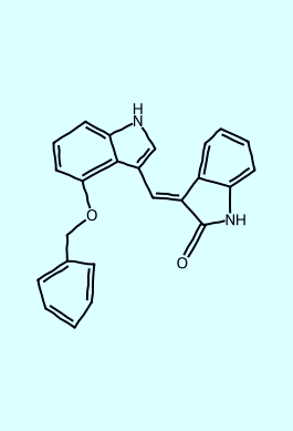 O=C1Nc2ccccc2/C1=C\c1c[nH]c2cccc(OCc3ccccc3)c12